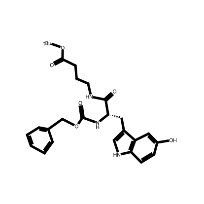 CC(C)(C)OC(=O)CCCNC(=O)[C@H](Cc1c[nH]c2ccc(O)cc12)NC(=O)OCc1ccccc1